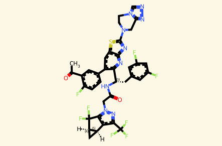 CC(=O)c1cc(-c2cc3sc(N4CCn5cnnc5C4)nc3nc2[C@H](Cc2cc(F)cc(F)c2)NC(=O)Cn2nc(C(F)(F)F)c3c2C(F)(F)[C@@H]2C[C@H]32)ccc1F